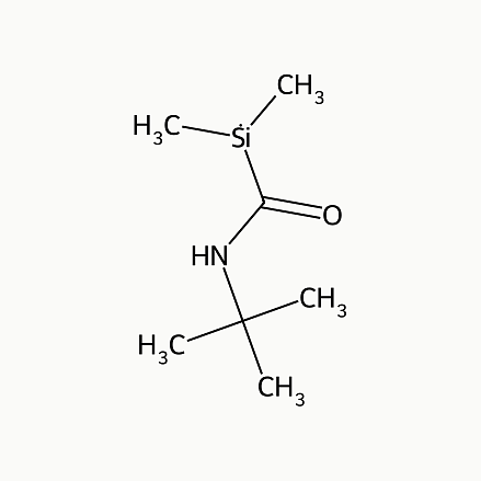 C[Si](C)C(=O)NC(C)(C)C